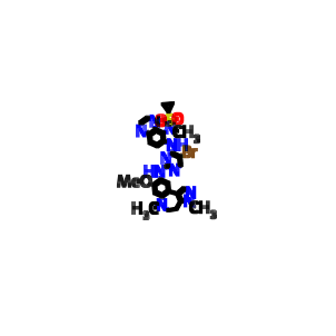 COc1cc2c(cc1Nc1ncc(Br)c(Nc3ccc4nccnc4c3N(C)S(=O)(=O)C3CC3)n1)-c1cnn(C)c1CCN2C